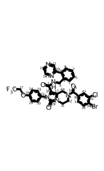 O=C(NCc1ccccc1-c1cnccn1)c1c2n(c(=O)n1-c1ccc(OCC(F)(F)F)cc1)CCN(C(=O)c1ccc(Br)c(Cl)c1)C2